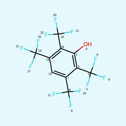 Oc1c(C(F)(F)F)c(C(F)(F)F)cc(C(F)(F)F)c1C(F)(F)F